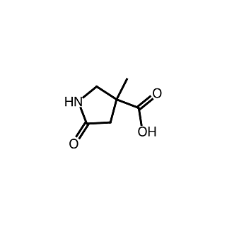 CC1(C(=O)O)CNC(=O)C1